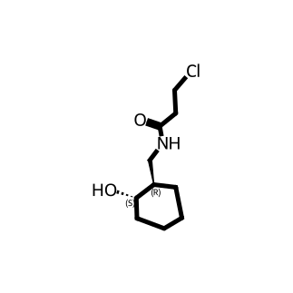 O=C(CCCl)NC[C@H]1CCCC[C@@H]1O